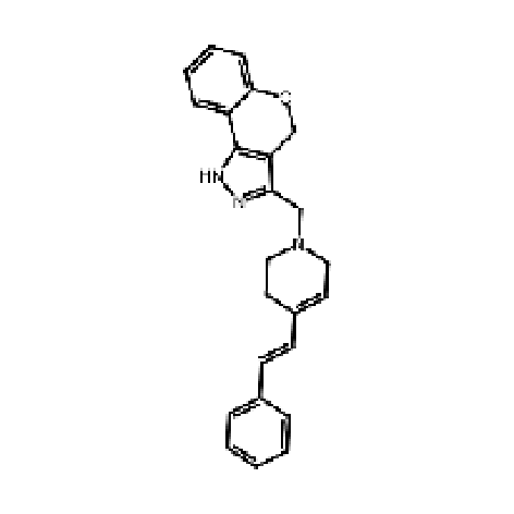 C(=Cc1ccccc1)C1=CCN(Cc2n[nH]c3c2COc2ccccc2-3)CC1